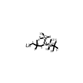 [Li][CH2]C(C)(C)CN([Si](C)(C)C)[Si](C)(C)C(C)(C)C